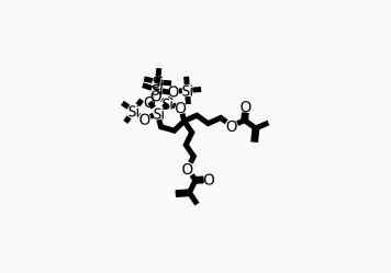 C=C(C)C(=O)OCCCC1(CCCOC(=O)C(=C)C)CC[Si](O[Si](C)(C)C)(O[Si](C)(C)C)[Si](O[Si](C)(C)C)(O[Si](C)(C)C)O1